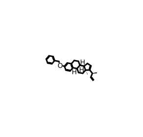 C=C[C@H](C)C1=CC[C@H]2[C@@H]3CCc4cc(OCc5ccccc5)ccc4[C@H]3CC[C@]12C